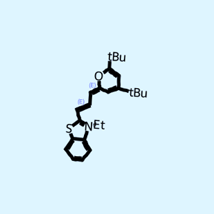 CC[n+]1c(/C=C/C=C2\C=C(C(C)(C)C)C=C(C(C)(C)C)O2)sc2ccccc21